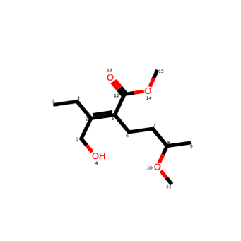 CCC(CO)=C(CCC(C)OC)C(=O)OC